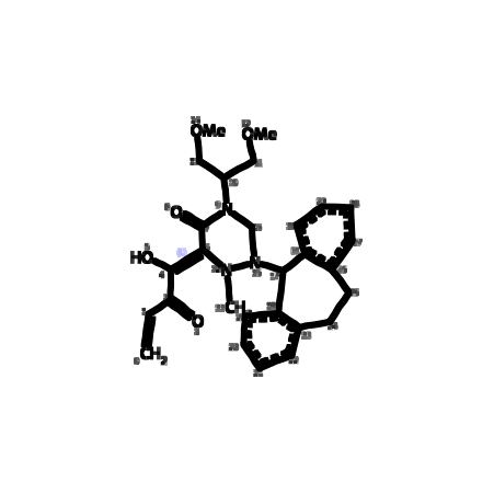 C=CC(=O)/C(O)=C1/C(=O)N(C(COC)COC)CN(C2c3ccccc3CCc3ccccc32)N1C